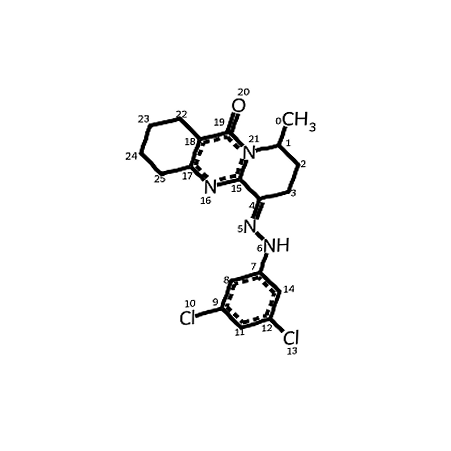 CC1CCC(=NNc2cc(Cl)cc(Cl)c2)c2nc3c(c(=O)n21)CCCC3